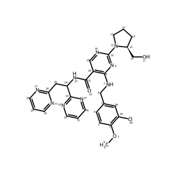 COc1ccc(CNc2nc(N3CCC[C@H]3CO)ncc2C(=O)NC(Cc2ncccn2)c2ncccn2)cc1Cl